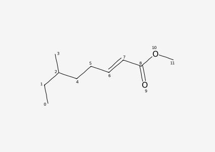 CCC(C)CCC=CC(=O)OC